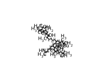 C=C(CCC(O)C(C)CCCCC(CC(=O)C(C)C(=C)C(C)CC)C(=C)CC(CCCCC(C)=N)C(=C)C(C)C(=C)[C@@H](C)CCC(C)O)C(=C)[C@@H](C(=C)C)[C@@H](C)O